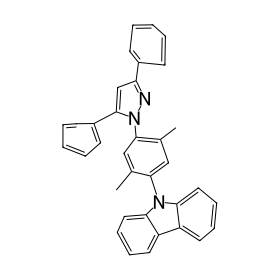 Cc1cc(-n2c3ccccc3c3ccccc32)c(C)cc1-n1nc(-c2ccccc2)cc1-c1ccccc1